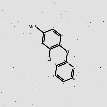 CSc1ccc(Oc2ccccn2)c(Cl)c1